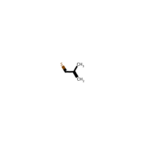 C=C(C)C=S